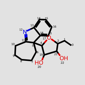 CCC1OC(C23CCCCCC2=Nc2ccccc23)C(O)C1O